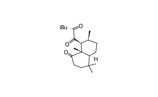 CC[C@@H](C)C(=O)C(=O)[C@H]1[C@@H](C)CC[C@H]2C(C)(C)CCC(=O)[C@]12C